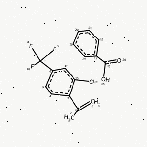 C=C(C)c1ccc(C(F)(F)F)cc1Cl.O=C(O)c1ccccc1